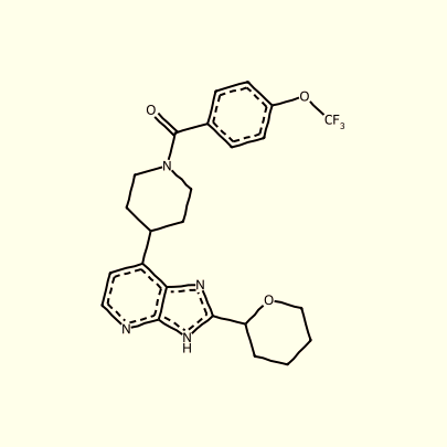 O=C(c1ccc(OC(F)(F)F)cc1)N1CCC(c2ccnc3[nH]c(C4CCCCO4)nc23)CC1